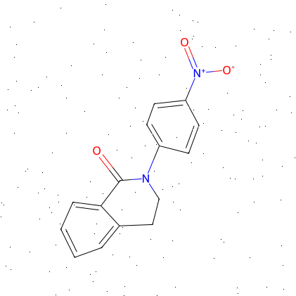 O=C1c2ccccc2CCN1c1ccc([N+](=O)[O-])cc1